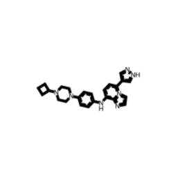 c1cn2c(-c3cn[nH]c3)ccc(Nc3ccc(N4CCN(C5CCC5)CC4)cc3)c2n1